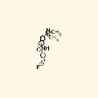 Cc1ncc(-c2ccc3cnc(NC(=O)C4CCC(CN5CC(F)C5)CC4)cc3c2)n1C